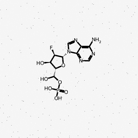 Nc1ncnc2c1ncn2[C@@H]1O[C@H](C(O)OP(=O)(O)O)[C@@H](O)[C@H]1F